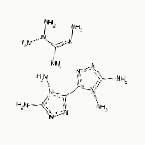 NN=C(N)N(N)N.Nc1nnc(-c2nnc(N)n2N)n1N